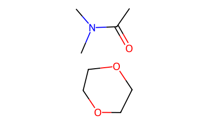 C1COCCO1.CC(=O)N(C)C